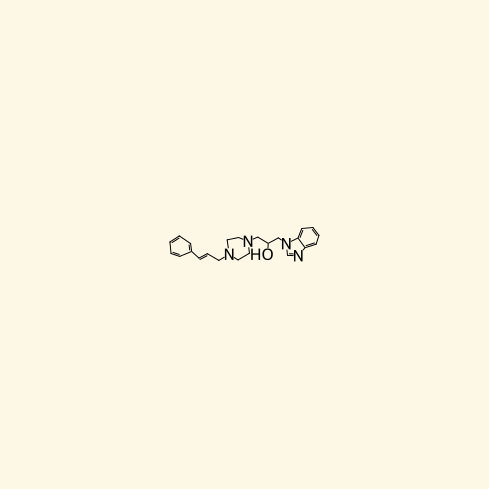 OC(CN1CCN(C/C=C/c2ccccc2)CC1)Cn1cnc2ccccc21